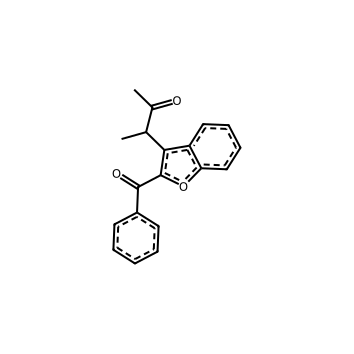 CC(=O)C(C)c1c(C(=O)c2ccccc2)oc2ccccc12